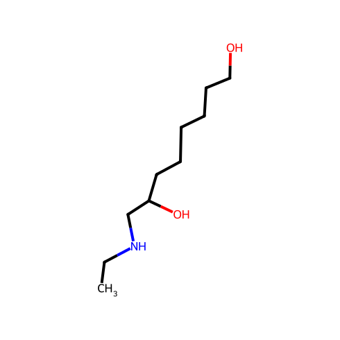 CCNCC(O)CCCCCCO